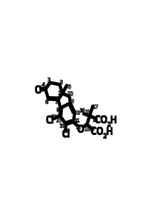 CC12CCC(=O)C=C1c1c(cc(OC(C(=O)O)C(C)(C)C(=O)O)c(Cl)c1Cl)C2